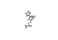 CN(C)C(=O)CCc1c[nH]c(-c2cccs2)c1